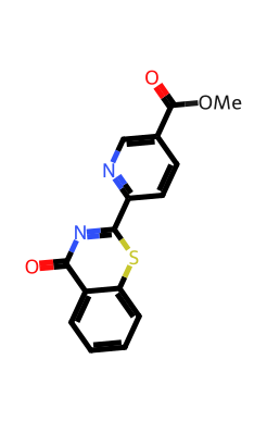 COC(=O)c1ccc(-c2nc(=O)c3ccccc3s2)nc1